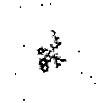 CCNC(=O)NN(C)CC(=O)N[C@@H](Cc1ccco1)C(=O)N(Cc1cccc2ccccc12)[C@@H](C)C(OCC)OCC